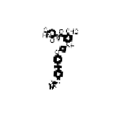 CN(C(=O)c1cc(N[C@H]2C[C@H](Oc3ccc(C(C)(C)c4ccc(Oc5nncs5)cc4)cc3)C2)ccc1C=O)C1CCC(=O)NC1=O